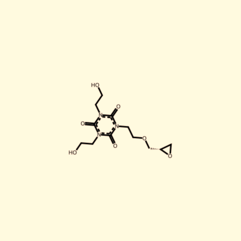 O=c1n(CCO)c(=O)n(CCOC[C@@H]2CO2)c(=O)n1CCO